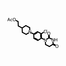 CC(=O)OCCC1CCN(c2ccc(N3CCC(=O)NC3=O)c(Cl)c2)CC1